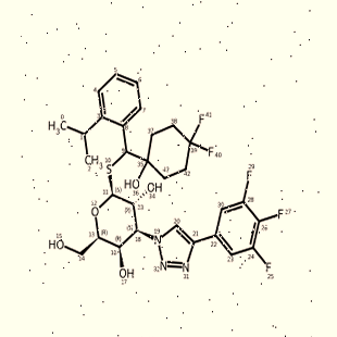 CC(C)c1ccccc1C(S[C@@H]1O[C@H](CO)[C@H](O)[C@H](n2cc(-c3cc(F)c(F)c(F)c3)nn2)[C@H]1O)C1(O)CCC(F)(F)CC1